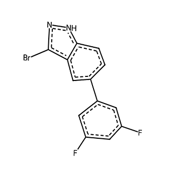 Fc1cc(F)cc(-c2ccc3[nH]nc(Br)c3c2)c1